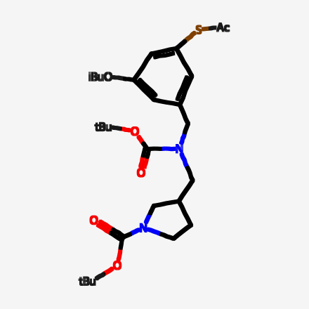 CC(=O)Sc1cc(CN(CC2CCN(C(=O)OC(C)(C)C)C2)C(=O)OC(C)(C)C)cc(OCC(C)C)c1